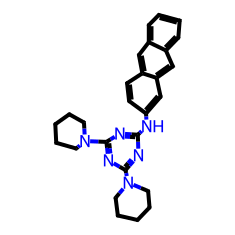 c1ccc2cc3cc(Nc4nc(N5CCCCC5)nc(N5CCCCC5)n4)ccc3cc2c1